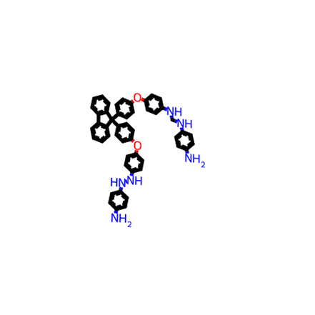 Nc1ccc(NCNc2ccc(Oc3ccc(C4(c5ccc(Oc6ccc(NNc7ccc(N)cc7)cc6)cc5)c5ccccc5-c5ccccc54)cc3)cc2)cc1